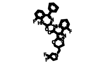 O=C(N[C@H]1N=C(c2ccccc2)c2cccc(F)c2NC1=O)c1c(-c2ccccc2F)nn2c1OCC(CN1CCC(F)(F)C1)C2